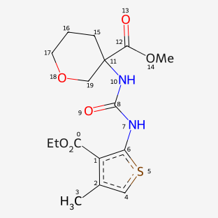 CCOC(=O)c1c(C)csc1NC(=O)NC1(C(=O)OC)CCCOC1